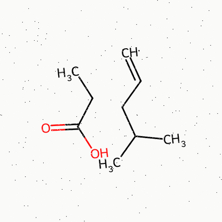 CCC(=O)O.[CH]=CCC(C)C